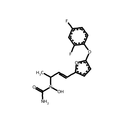 CC(C=Cc1ccc(Oc2ccc(F)cc2F)o1)N(O)C(N)=O